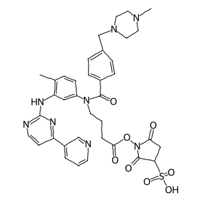 Cc1ccc(N(CCCC(=O)ON2C(=O)CC(S(=O)(=O)O)C2=O)C(=O)c2ccc(CN3CCN(C)CC3)cc2)cc1Nc1nccc(-c2cccnc2)n1